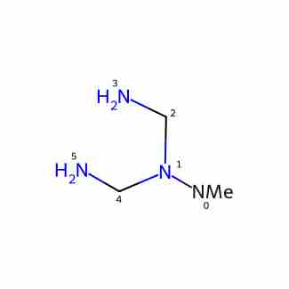 CNN(CN)CN